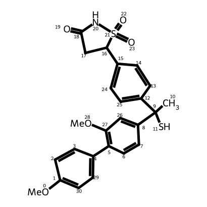 COc1ccc(-c2ccc(C(C)(S)c3ccc(C4CC(=O)NS4(=O)=O)cc3)cc2OC)cc1